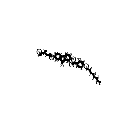 CCCCCCCCOc1ccc(C(=O)Oc2ccc3c(c2)C(C)c2cc(OCCCC4CO4)ccc2-3)cc1